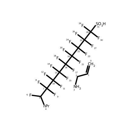 C=CCN.CCCC(F)C(F)(F)C(F)(F)C(F)(F)C(F)(F)C(F)(F)C(F)(F)C(F)(F)C(F)(F)S(=O)(=O)O